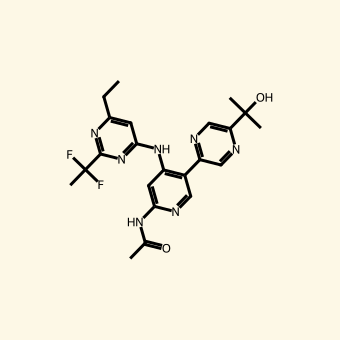 CCc1cc(Nc2cc(NC(C)=O)ncc2-c2cnc(C(C)(C)O)cn2)nc(C(C)(F)F)n1